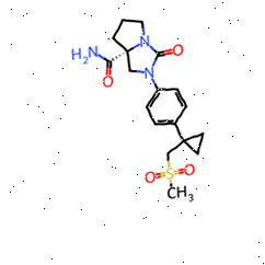 CS(=O)(=O)CC1(c2ccc(N3C[C@@]4(C(N)=O)[CH]CCN4C3=O)cc2)CC1